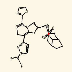 O=S(=O)(NC1CC2=C(c3ccn(C(F)F)n3)CN=C(c3nccs3)N2C1)C1C2CCC1CC(O)C2